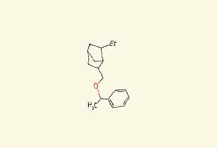 CCC1CC2CC(COC(C)c3ccccc3)C1C2